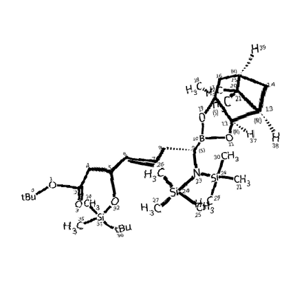 CC(C)(C)OC(=O)CC(C=CC[C@H](B1O[C@@H]2[C@@H]3C[C@H](C[C@]2(C)O1)C3(C)C)N([Si](C)(C)C)[Si](C)(C)C)O[Si](C)(C)C(C)(C)C